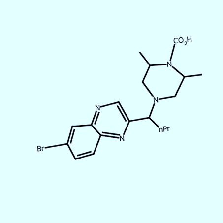 CCCC(c1cnc2cc(Br)ccc2n1)N1CC(C)N(C(=O)O)C(C)C1